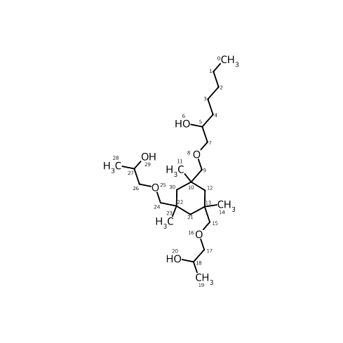 CCCCCC(O)COCC1(C)CC(C)(COCC(C)O)CC(C)(COCC(C)O)C1